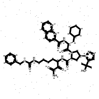 CC(C)(O)c1cnnn1[C@H]1C[C@@H](C(=O)NC(CCCCNC(=O)OCc2ccccc2)C(=O)C(N)=O)N(C(=O)[C@@H](CC2CCCCC2)NC(=O)c2ccc3cccnc3n2)C1